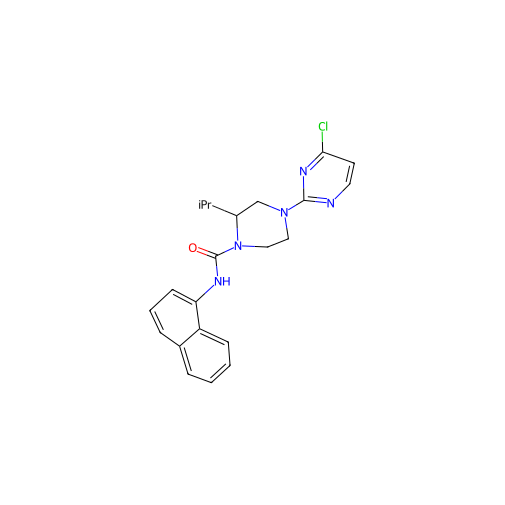 CC(C)C1CN(c2nccc(Cl)n2)CCN1C(=O)Nc1cccc2ccccc12